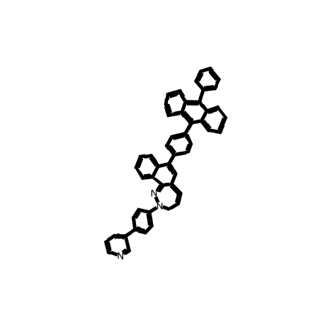 C1=CCN(c2ccc(-c3cccnc3)cc2)N=c2c=1cc(-c1ccc(-c3c4ccccc4c(-c4ccccc4)c4ccccc34)cc1)c1ccccc21